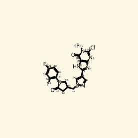 CCCn1c(Cl)nc2nc(-c3cnn(CC4CC(=O)N(c5ccc(F)cc5F)C4)c3)[nH]c2c1=O